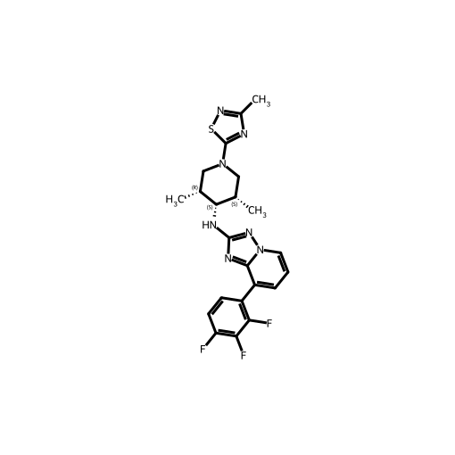 Cc1nsc(N2C[C@@H](C)[C@@H](Nc3nc4c(-c5ccc(F)c(F)c5F)cccn4n3)[C@@H](C)C2)n1